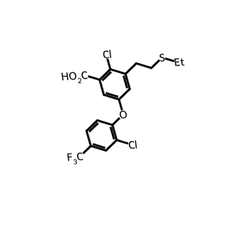 CCSCCc1cc(Oc2ccc(C(F)(F)F)cc2Cl)cc(C(=O)O)c1Cl